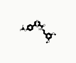 COc1cc(CCNC(=O)c2cncc(-c3ccc(OC(F)F)cc3)n2)cc(OC)c1